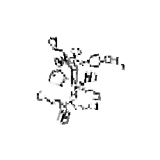 CC1CCC(NC(=O)N(CCCl)N=O)CC1.O=NN(CCCl)C(=O)NC1CCCCC1.O=NN(CCCl)C(=O)NCCCl